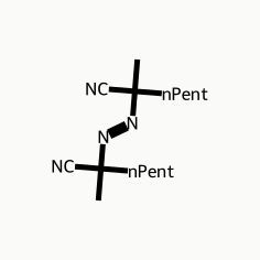 CCCCCC(C)(C#N)N=NC(C)(C#N)CCCCC